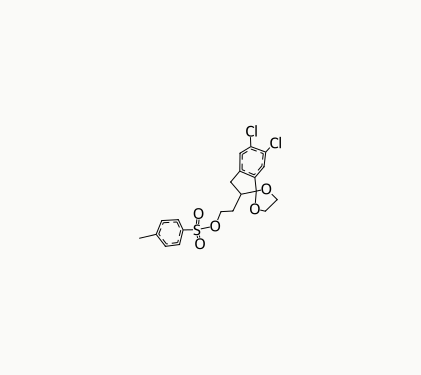 Cc1ccc(S(=O)(=O)OCCC2Cc3cc(Cl)c(Cl)cc3C23OCCO3)cc1